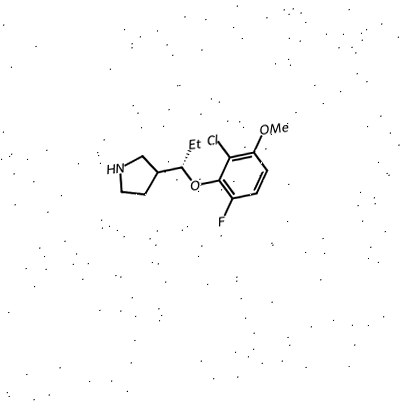 CC[C@H](Oc1c(F)ccc(OC)c1Cl)C1CCNC1